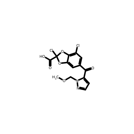 COCn1nccc1C(=O)c1cc(Cl)c2c(c1)OC(Cl)(C(=O)O)O2